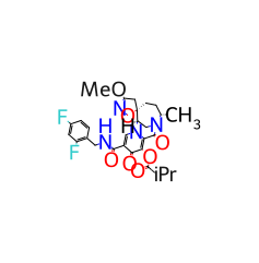 COC1=NO[C@@]2(CC[C@H](C)N3C[C@H]2n2cc(C(=O)NCc4ccc(F)cc4F)c(=O)c(OC(=O)C(C)C)c2C3=O)C1